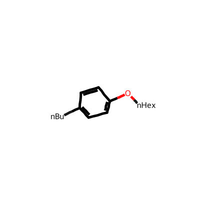 [CH2]CCCc1ccc(OCCCCCC)cc1